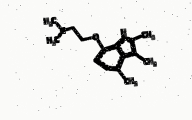 Cc1[nH]c2c(OCCN(C)C)ccc(C)c2c1C